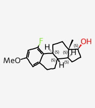 COc1cc(F)c2c(c1)CC[C@@H]1[C@@H]2CC[C@]2(C)[C@@H](O)CC[C@@H]12